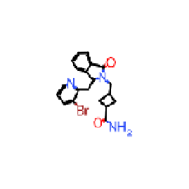 NC(=O)C1CC(CN2C(=O)c3ccccc3C2Cc2ncccc2Br)C1